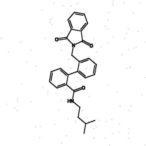 CC(C)CCNC(=O)c1ccccc1-c1ccccc1CN1C(=O)c2ccccc2C1=O